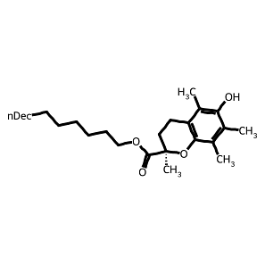 CCCCCCCCCCCCCCCCOC(=O)[C@@]1(C)CCc2c(C)c(O)c(C)c(C)c2O1